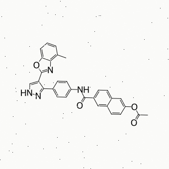 CC(=O)Oc1ccc2cc(C(=O)Nc3ccc(-c4n[nH]cc4-c4nc5c(C)cccc5o4)cc3)ccc2c1